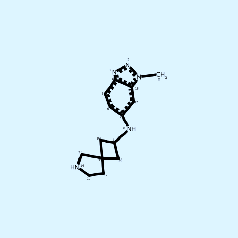 Cn1nnc2ccc(NC3CC4(CCNC4)C3)cc21